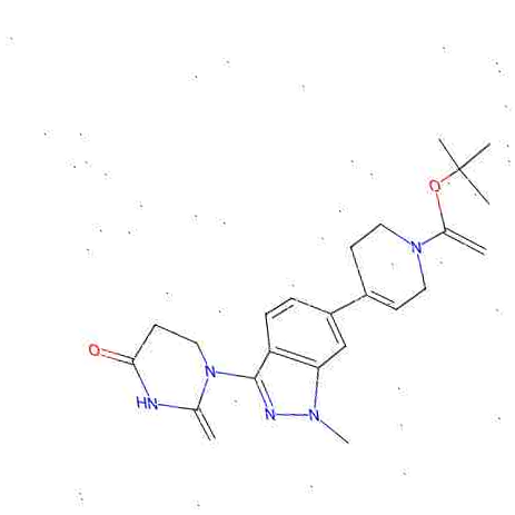 C=C(OC(C)(C)C)N1CC=C(c2ccc3c(N4CCC(=O)NC4=C)nn(C)c3c2)CC1